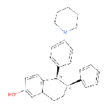 Oc1ccc2c(c1)CC[C@H](c1ccccc1)[C@@H]2c1ccc(N2CCCCC2)cc1